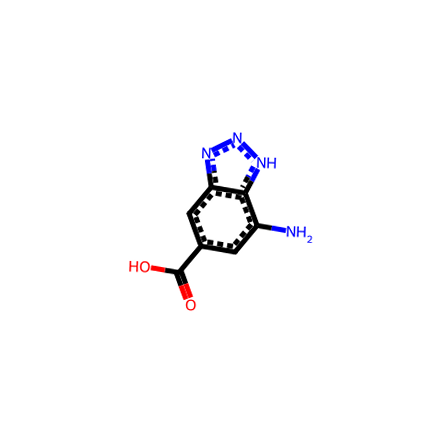 Nc1cc(C(=O)O)cc2nn[nH]c12